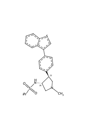 CC(C)S(=O)(=O)N[C@H]1CN(C)C[C@@H]1c1ccc(-c2csc3ccccc23)cc1